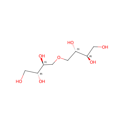 OC[C@@H](O)[C@@H](O)COC[C@H](O)[C@H](O)CO